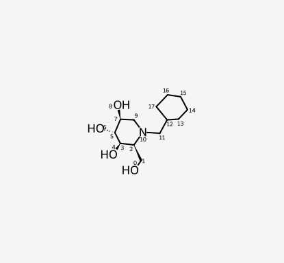 OC[C@H]1[C@@H](O)[C@H](O)[C@@H](O)CN1CC1CCCCC1